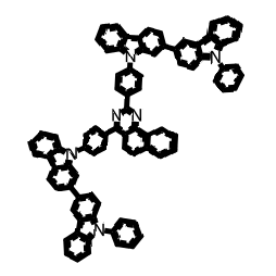 c1ccc(-n2c3ccccc3c3cc(-c4ccc5c6ccccc6n(-c6ccc(-c7nc(-c8ccc(-n9c%10ccccc%10c%10ccc(-c%11ccc%12c(c%11)c%11ccccc%11n%12-c%11ccccc%11)cc%109)cc8)c8ccc9ccccc9c8n7)cc6)c5c4)ccc32)cc1